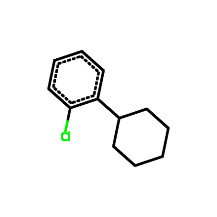 Clc1ccccc1C1CCCCC1